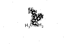 Cc1cc(N)nc2cc(C(=O)N(Cc3ccc(C(F)(F)F)cn3)[C@@H]3CCCc4nccnc43)cnc12